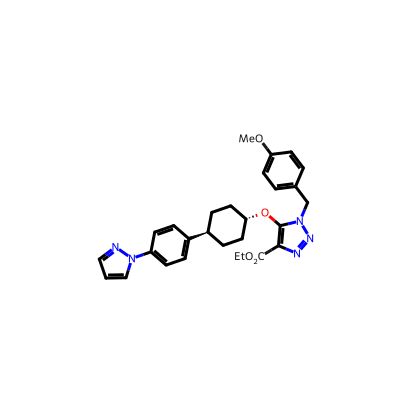 CCOC(=O)c1nnn(Cc2ccc(OC)cc2)c1O[C@H]1CC[C@H](c2ccc(-n3cccn3)cc2)CC1